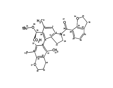 Cc1cc2c(c(-c3cc(F)c4c(c3C)CCCO4)c1[C@H](OC(C)(C)C)C(=O)O)CCN2C(=O)c1cccc2c1OCC2